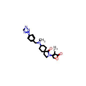 CC1=C(N2CCC3(CCC(N(C)Cc4ccc(-n5ncnn5)cc4)CC3)C2=O)COC1=O